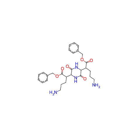 NCCCC(C(=O)OCc1ccccc1)C1NC(=O)C(C(CCCN)C(=O)OCc2ccccc2)NC1=O